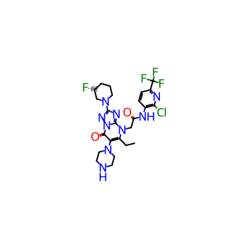 CCc1c(N2CCNCC2)c(=O)n2nc(N3CCC[C@@H](F)C3)nc2n1CC(=O)Nc1ccc(C(F)(F)F)nc1Cl